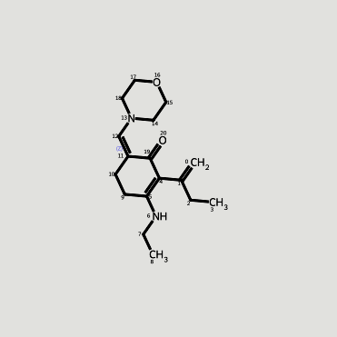 C=C(CC)C1=C(NCC)CC/C(=C/N2CCOCC2)C1=O